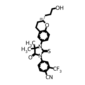 CC1(C)C(=O)N(c2ccc(C#N)c(C(F)(F)F)c2)C(=S)N1c1ccc2c(c1)CC[C@H](CCCO)O2